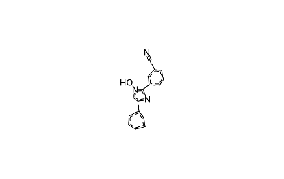 N#Cc1cccc(-c2nc(-c3ccccc3)cn2O)c1